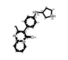 Cc1nc2ccccn2c(=O)c1-c1ccc(NC2CCNC2)cc1